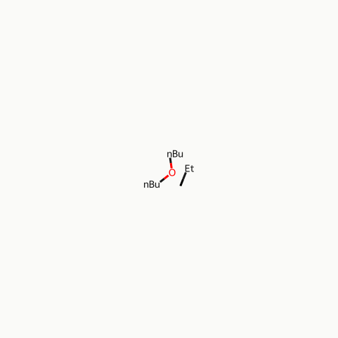 CCC.CCCCOCCCC